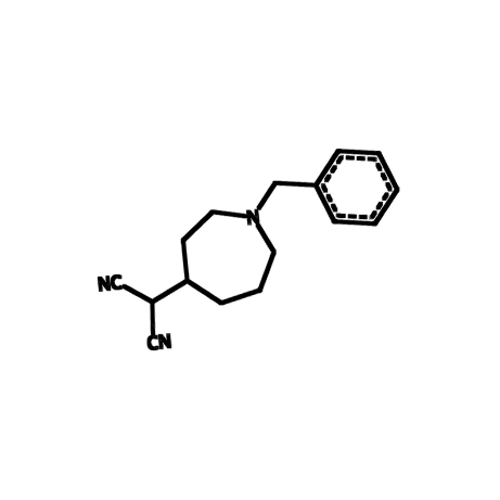 N#CC(C#N)C1CCCN(Cc2ccccc2)CC1